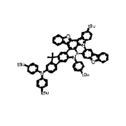 CC(C)(C)c1ccc(N2B3c4cc5oc6ccccc6c5cc4-n4c5ccc(C(C)(C)C)cc5c5c6oc7ccccc7c6c(c3c54)-c3cc4c(cc32)-c2ccc(N(c3ccc(C(C)(C)C)cc3)c3ccc(C(C)(C)C)cc3)cc2C4(C)C)cc1